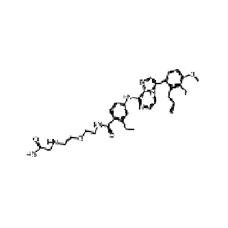 C=CCc1c(-c2cnc3c(Nc4ccc(C(=O)NCCOCCNCC(=O)O)c(CC)c4)nccn23)ccc(OC)c1F